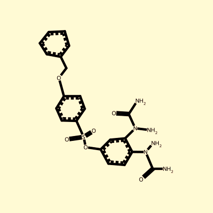 NC(=O)N(N)c1ccc(OS(=O)(=O)c2ccc(OCc3ccccc3)cc2)cc1N(N)C(N)=O